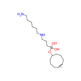 NCCCCCCNCCC[Si](O)(O)OC1CCC/C=C\CCC1